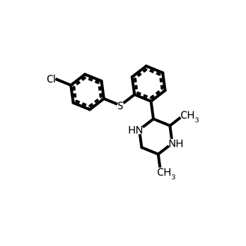 CC1CNC(c2ccccc2Sc2ccc(Cl)cc2)C(C)N1